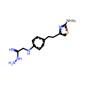 CC(=O)Nc1nc(CCc2ccc(NCC(=N)NN)cc2)cs1